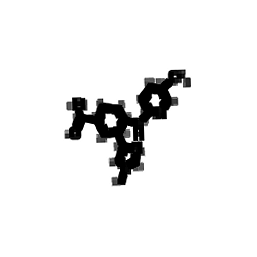 CCC(=O)c1ccc(Nc2ccc(C(F)(F)F)cn2)c(-c2cn(C)cn2)c1